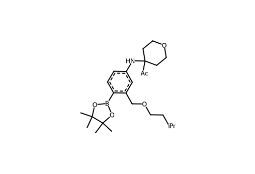 CC(=O)C1(Nc2ccc(B3OC(C)(C)C(C)(C)O3)c(COCCC(C)C)c2)CCOCC1